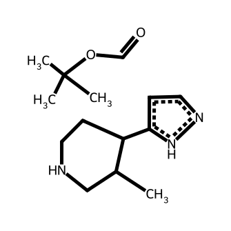 CC(C)(C)OC=O.CC1CNCCC1c1ccn[nH]1